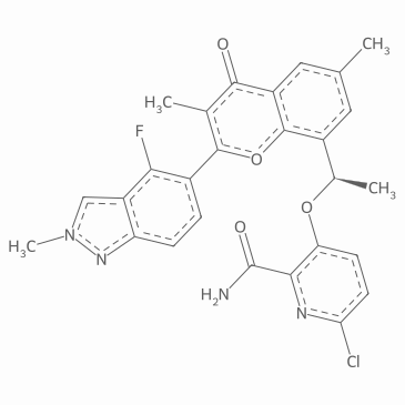 Cc1cc([C@@H](C)Oc2ccc(Cl)nc2C(N)=O)c2oc(-c3ccc4nn(C)cc4c3F)c(C)c(=O)c2c1